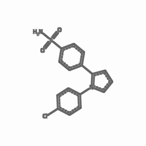 NS(=O)(=O)c1ccc(-c2cccn2-c2ccc(Cl)cc2)cc1